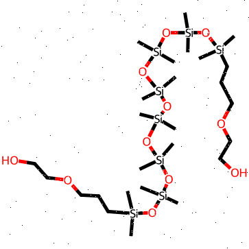 C[Si](C)(CCCOCCO)O[Si](C)(C)O[Si](C)(C)O[Si](C)(C)O[Si](C)(C)O[Si](C)(C)O[Si](C)(C)O[Si](C)(C)CCCOCCO